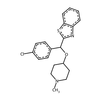 CN1CCC(OC(c2ccc(Cl)cc2)c2nc3ccccc3s2)CC1